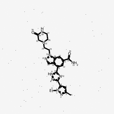 CCn1nc(C)cc1-c1n[nH]c(-c2cc(C(N)=O)cc3c2cnn3CCN2CCNC(=O)C2)n1